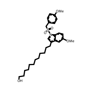 COc1ccc(CS(=O)(=O)n2cc(CCCCCCCCCCCCO)c3cc(OC)ccc32)cc1